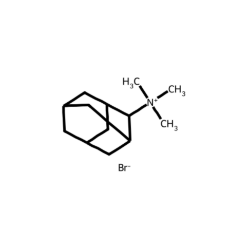 C[N+](C)(C)C1C2CC3CC(C2)CC1C3.[Br-]